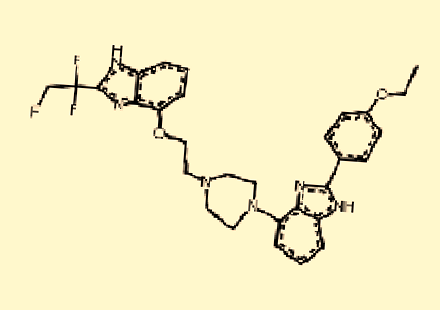 CCOc1ccc(-c2nc3c(N4CCN(CCOc5cccc6[nH]c(C(F)(F)CF)nc56)CC4)cccc3[nH]2)cc1